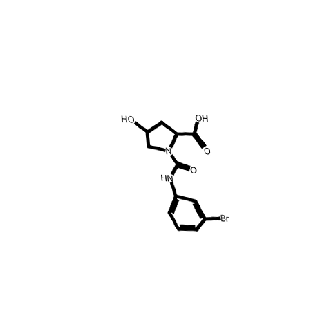 O=C(O)C1CC(O)CN1C(=O)Nc1cccc(Br)c1